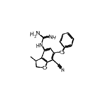 CC1COc2c(C#N)c(Oc3ccccc3)cc(NC(=N)N)c21